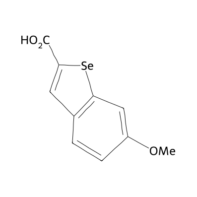 COc1ccc2cc(C(=O)O)[se]c2c1